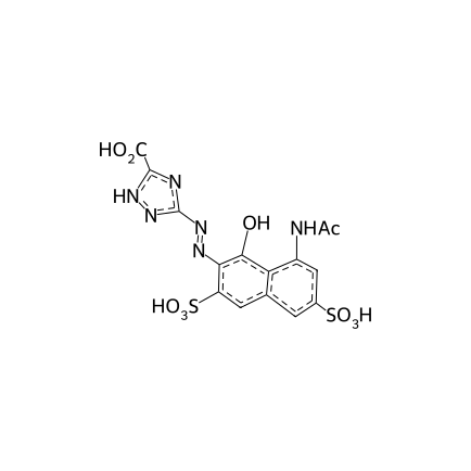 CC(=O)Nc1cc(S(=O)(=O)O)cc2cc(S(=O)(=O)O)c(N=Nc3n[nH]c(C(=O)O)n3)c(O)c12